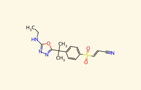 CCNc1nnc(C(C)(C)c2ccc(S(=O)(=O)C=CC#N)cc2)o1